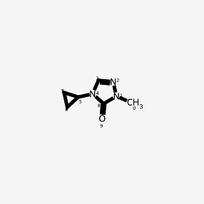 Cn1ncn(C2CC2)c1=O